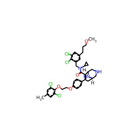 COCCCc1cc(Cl)c(Cl)c(CN(C(=O)C2=C(c3ccc(OCCOc4c(Cl)cc(C)cc4Cl)cc3)C[C@@H]3CNC[C@H]2N3)C2CC2)c1